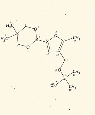 Cc1oc(B2OCC(C)(C)CO2)cc1CO[Si](C)(C)C(C)(C)C